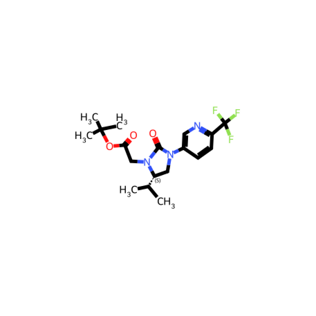 CC(C)[C@H]1CN(c2ccc(C(F)(F)F)nc2)C(=O)N1CC(=O)OC(C)(C)C